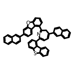 C1=C(c2ccc3ccccc3c2)CC(c2cccc3oc4cc(-c5ccc6ccccc6c5)ccc4c23)=NC(c2cccc3sc4ccccc4c23)=C1